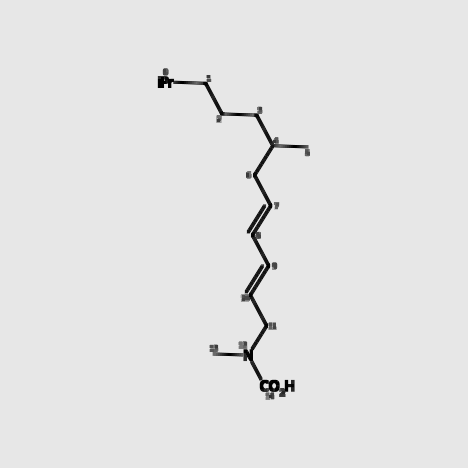 CC(C)CCCC(C)CC=CC=CCN(C)C(=O)O